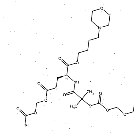 CC(C)C(=O)OCOC(=O)SC[C@H](NC(=O)C(C)(C)SC(=O)OCOC(=O)C(C)C)C(=O)OCCCCN1CCOCC1